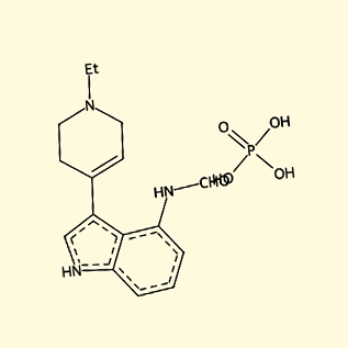 CCN1CC=C(c2c[nH]c3cccc(NC=O)c23)CC1.O=P(O)(O)O